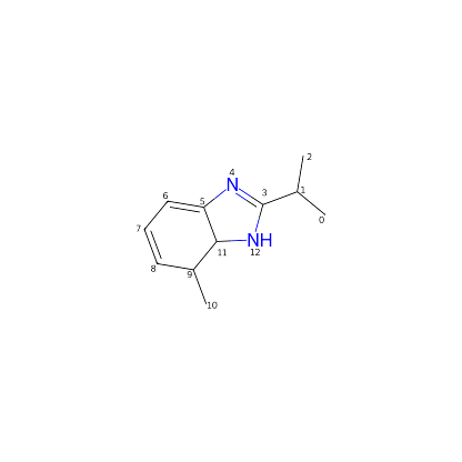 CC(C)C1=NC2=CC=CC(C)C2N1